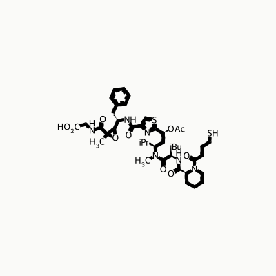 CC[C@H](C)[C@@H](NC(=O)[C@@H]1CCCCN1C(=O)CCCS)C(=O)N(C)[C@H](C[C@@H](OC(C)=O)c1nc(C(=O)N[C@@H](Cc2ccccc2)C2OC2(C)C(=O)NCC(=O)O)cs1)C(C)C